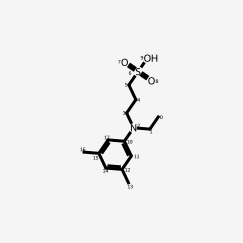 CCN(CCCS(=O)(=O)O)c1cc(C)cc(C)c1